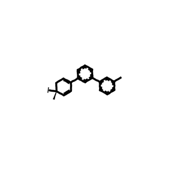 Cc1cccc(-c2cccc(C3=CC[C@@](C)(I)C=C3)c2)c1